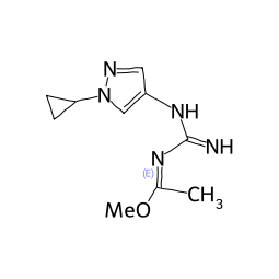 CO/C(C)=N/C(=N)Nc1cnn(C2CC2)c1